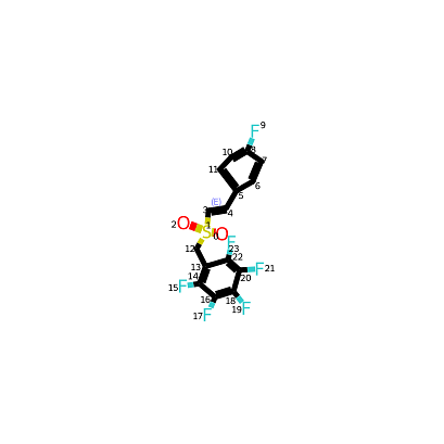 O=S(=O)(/C=C/c1ccc(F)cc1)Cc1c(F)c(F)c(F)c(F)c1F